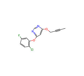 CC#CCOc1cc(Oc2cc(F)ccc2Cl)ncn1